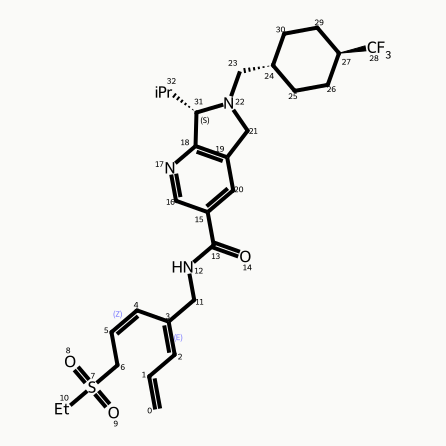 C=C/C=C(\C=C/CS(=O)(=O)CC)CNC(=O)c1cnc2c(c1)CN(C[C@H]1CC[C@H](C(F)(F)F)CC1)[C@H]2C(C)C